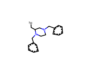 [2H]CC1CN(Cc2ccccc2)CCN1Cc1ccccc1